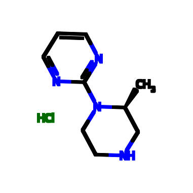 C[C@H]1CNCCN1c1ncccn1.Cl